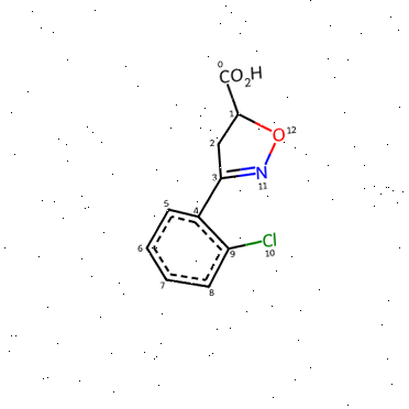 O=C(O)C1CC(c2ccccc2Cl)=NO1